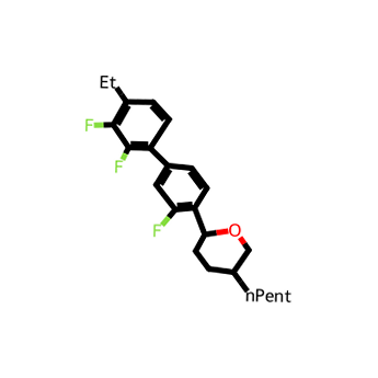 CCCCCC1CCC(c2ccc(-c3ccc(CC)c(F)c3F)cc2F)OC1